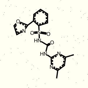 Cc1cc(C)nc(NC(=O)NS(=O)(=O)c2ccccc2-c2ncco2)n1